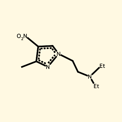 CCN(CC)CCn1cc([N+](=O)[O-])c(C)n1